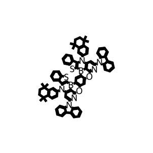 CC1(C)CCC(C)(C)c2cc(N3c4cc(-n5c6ccccc6c6ccccc65)nc5c4B(c4cc6c(cc4O5)Oc4nc(-n5c7ccccc7c7ccccc75)cc5c4B6c4sc6ccccc6c4N5c4ccc5c(c4)C(C)(C)CCC5(C)C)c4sc5ccccc5c43)ccc21